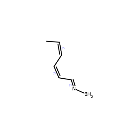 B/N=C/C=C\C=C/C